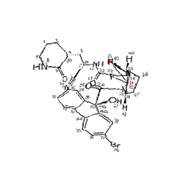 N#C[C@@H](C[C@H]1CCCNC1=O)NC(=O)[C@@H]1[C@@H]2CC[C@@H](CC2(F)F)N1C(=O)[C@@]1(O)c2ccccc2-c2ccc(Br)cc21